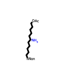 CCCCCCCCCCCCCCCCCCCCOC(C)=O.N